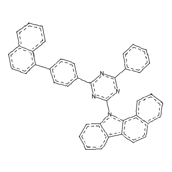 c1ccc(-c2nc(-c3ccc(-c4cccc5ccccc45)cc3)nc(-n3c4ccccc4c4ccc5ccccc5c43)n2)cc1